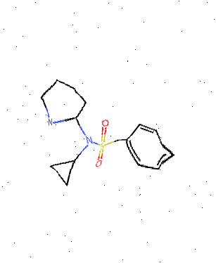 O=S(=O)(c1ccccc1)N(C1CC1)C1CCCC[N]1